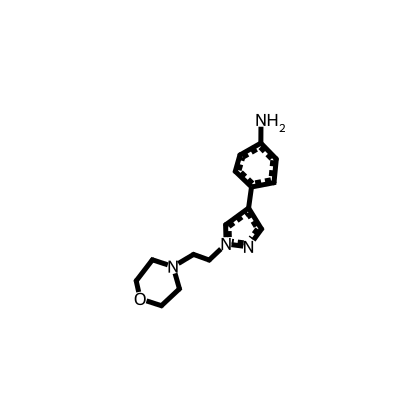 Nc1ccc(-c2cnn(CCN3CCOCC3)c2)cc1